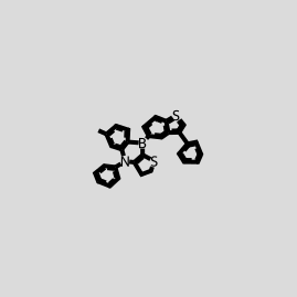 Cc1ccc2c(c1)N(c1ccccc1)C1=C(SCC1)B2c1ccc2scc(-c3ccccc3)c2c1